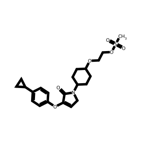 CS(=O)(=O)OCCOC1CCC(N2CC=C(Oc3ccc(C4CC4)cc3)C2=O)CC1